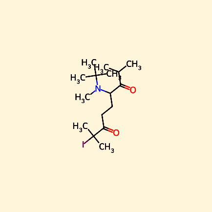 CC(C)C(=O)C(CCC(=O)C(C)(C)I)N(C)C(C)(C)C